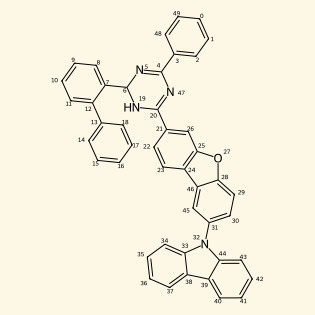 c1ccc(C2=NC(c3ccccc3-c3ccccc3)NC(c3ccc4c(c3)oc3ccc(-n5c6ccccc6c6ccccc65)cc34)=N2)cc1